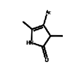 CC(=O)C1=C(C)NC(=O)C1C